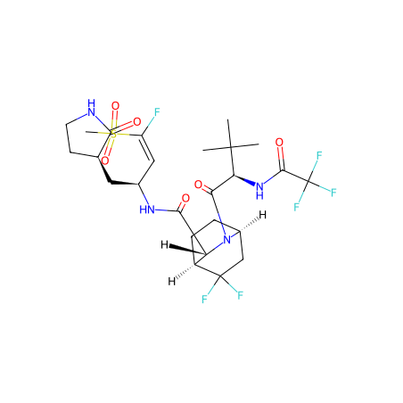 CC(C)(C)[C@@H](NC(=O)C(F)(F)F)C(=O)N1[C@H]2CC[C@@H]([C@@H]1C(=O)N[C@H](/C=C(/F)S(C)(=O)=O)C[C@H]1CCNC1=O)C(F)(F)C2